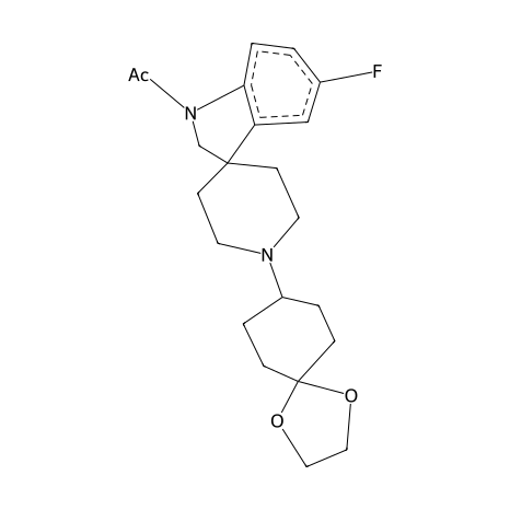 CC(=O)N1CC2(CCN(C3CCC4(CC3)OCCO4)CC2)c2cc(F)ccc21